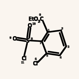 CCOC(=O)c1cccc(Cl)c1S(=O)(=O)Cl